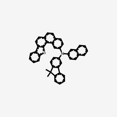 CC1(C)c2ccccc2-c2cc(N(c3ccc4ccccc4c3)c3ccc4ccc5ccc6c7ccccc7sc6c5c4c3)ccc21